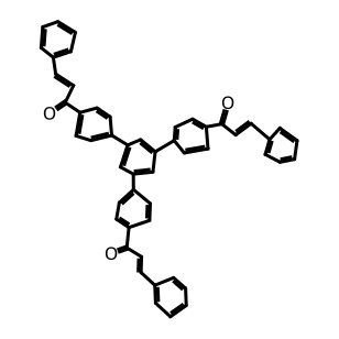 O=C(C=Cc1ccccc1)c1ccc(-c2cc(-c3ccc(C(=O)C=Cc4ccccc4)cc3)cc(-c3ccc(C(=O)C=Cc4ccccc4)cc3)c2)cc1